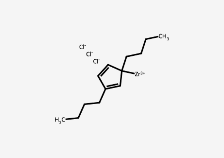 CCCCC1=C[C]([Zr+3])(CCCC)C=C1.[Cl-].[Cl-].[Cl-]